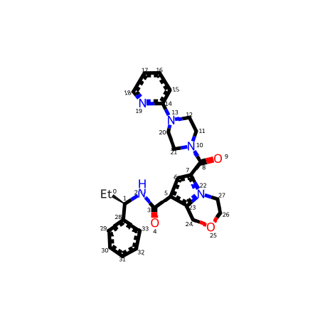 CC[C@@H](NC(=O)c1cc(C(=O)N2CCN(c3ccccn3)CC2)n2c1COCC2)c1ccccc1